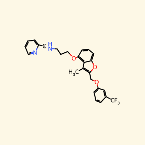 Cc1c(COc2cccc(C(F)(F)F)c2)oc2cccc(OCCCNCc3ccccn3)c12